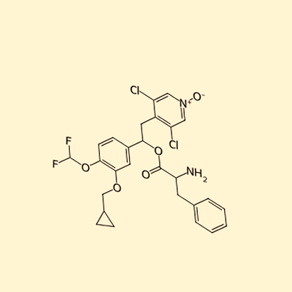 NC(Cc1ccccc1)C(=O)OC(Cc1c(Cl)c[n+]([O-])cc1Cl)c1ccc(OC(F)F)c(OCC2CC2)c1